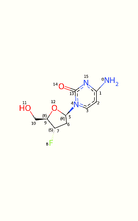 Nc1ccn([C@H]2C[C@H](F)[C@@H]([CH]O)O2)c(=O)n1